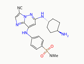 [C-]#[N+]c1cnc2c(Nc3ccc(S(=O)(=O)NC)cc3)cc(N[C@H]3CC[C@H](N)CC3)nn12